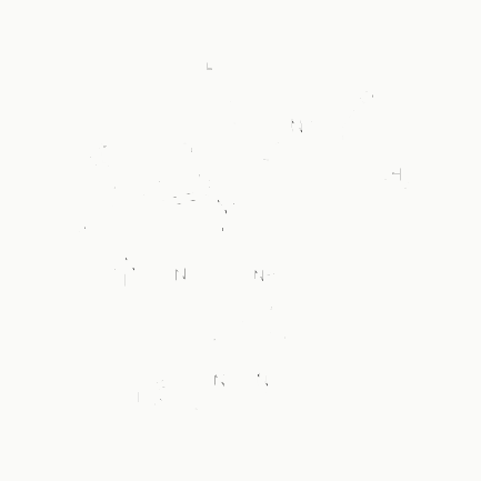 C=CC(=O)N1C[C@@H](F)[C@@H](Oc2nc(Nc3cnn(CC)c3)nc3[nH]cc(Cl)c23)C1